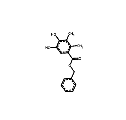 Cc1c(C(=O)OCc2ccccc2)cc(O)c(O)c1C